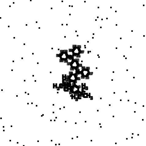 CC(C)(C)c1ccc2c(c1)c1cc(N(c3ccccc3)c3ccc(N(c4ccccc4)c4ccccc4)cc3)ccc1n2C(C)(C)C